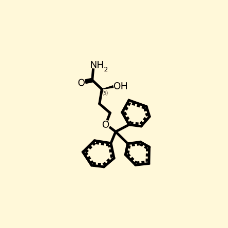 NC(=O)[C@@H](O)CCOC(c1ccccc1)(c1ccccc1)c1ccccc1